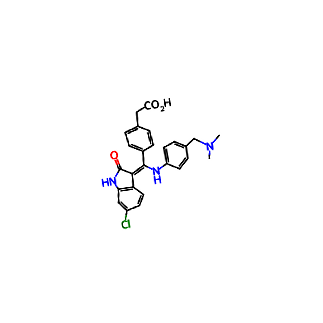 CN(C)Cc1ccc(NC(=C2C(=O)Nc3cc(Cl)ccc32)c2ccc(CC(=O)O)cc2)cc1